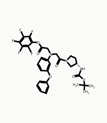 CC(C)(C)OC(=O)N[C@H]1CCN(C(=O)CN(CC(=O)Oc2c(F)c(F)c(F)c(F)c2F)c2cccc(Oc3ccccc3)c2)C1